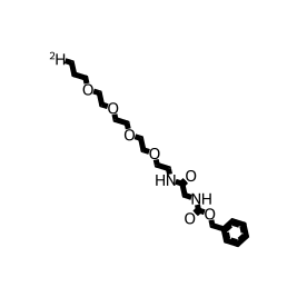 [2H]CCCOCCOCCOCCOCCNC(=O)CNC(=O)OCc1ccccc1